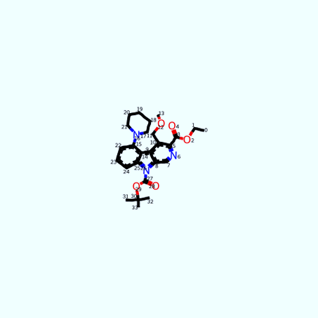 CCOC(=O)c1ncc2c(c1COC)c1c(N3CCCCC3)cccc1n2C(=O)OC(C)(C)C